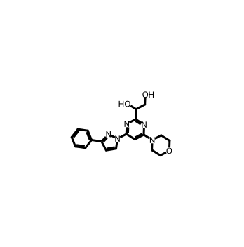 OCC(O)c1nc(N2CCOCC2)cc(-n2ccc(-c3ccccc3)n2)n1